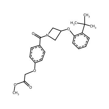 COC(=O)COc1ccc(C(=O)N2CC(Oc3ccccc3C(C)(C)C)C2)cc1